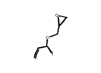 C=CC(I)OCC1CO1